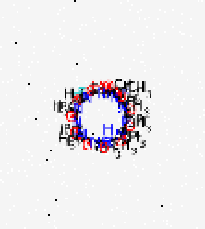 C/C=C/C[C@@H](C)[C@@H](O)[C@@H]1C(=O)N[C@H](CC)C(=O)N(C)[C@H](C(F)F)C(=O)N(C)[C@@H](CC(C)C)C(=O)N[C@H](C(C)C)C(=O)N(C)[C@H](CC(C)C)C(=O)N[C@H](C)C(=O)N[C@@H](C)C(=O)N(C)[C@H](CC(C)C)C(=O)N(C)[C@H](CC(C)C)C(=O)N(C)[C@H](C(C)C)C(=O)N1C